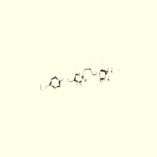 CCc1ccc(OCc2cn(C[C@@H](C)Cn3cc([N+](=O)[O-])nc3O)nn2)cc1